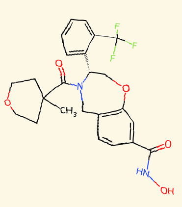 CC1(C(=O)N2Cc3ccc(C(=O)NO)cc3OC[C@H]2c2ccccc2C(F)(F)F)CCOCC1